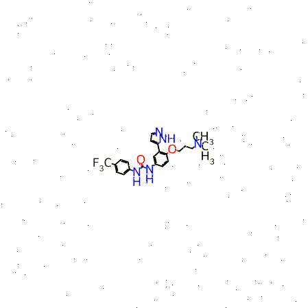 CN(C)CCCOc1ccc(NC(=O)Nc2ccc(C(F)(F)F)cc2)cc1-c1ccn[nH]1